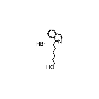 Br.OCCCCCCc1nccc2ccccc12